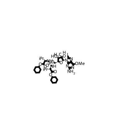 COc1nc(N)nc2c1nc(I)n2[C@@H]1O[C@H](COP(=O)(N[C@H](C(=O)OC2CCCCC2)C(C)C)N[C@H](C(=O)OC2CCCCC2)C(C)C)[C@@H](O)[C@@]1(C)O